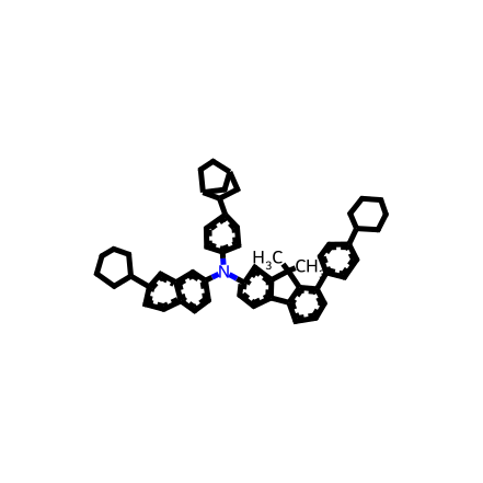 CC1(C)c2cc(N(c3ccc(C4CC5CCC4C5)cc3)c3ccc4ccc(C5CCCCC5)cc4c3)ccc2-c2cccc(-c3ccc(C4CCCCC4)cc3)c21